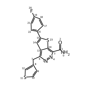 NC(=O)c1nnc(Cc2ccsc2)c2cc(-c3ccc(F)cc3)sc12